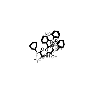 C[C@H](NC[C@@H](O)[C@H](Cc1ccccc1)NC(=O)c1ccccc1N(c1ccccc1C#N)S(C)(=O)=O)C(=O)NC1CCCCC1